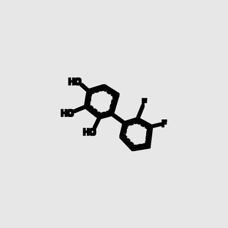 Oc1ccc(-c2cccc(F)c2F)c(O)c1O